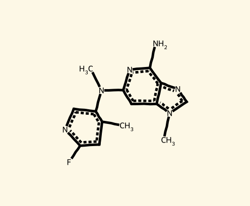 Cc1cc(F)ncc1N(C)c1cc2c(ncn2C)c(N)n1